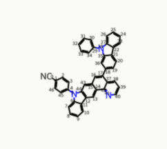 N#Cc1ccc(-n2c3ccccc3c3cc4c(cc(-c5ccc6c7ccccc7n(-c7ccccc7)c6c5)c5cccnc54)cc32)cc1